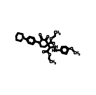 CCOC(=O)C(NNc1ccc(OC)cc1)C1(C(=O)OCC)CCN(c2ccc(N3CCCCC3)cc2)C(=O)C1=O